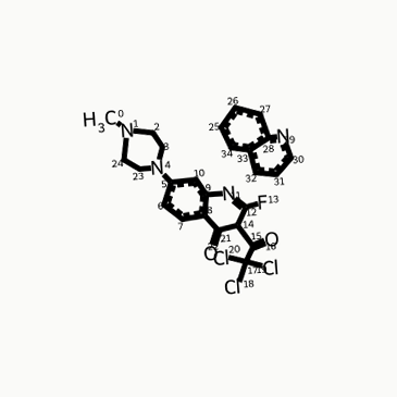 CN1CCN(c2ccc3c(c2)N=C(F)C(C(=O)C(Cl)(Cl)Cl)C3=O)CC1.c1ccc2ncccc2c1